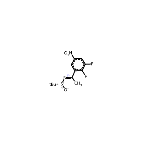 C/C(=N\[S@+]([O-])C(C)(C)C)c1cc([N+](=O)[O-])cc(F)c1F